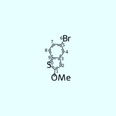 COc1cc2cc(Br)ccc2s1